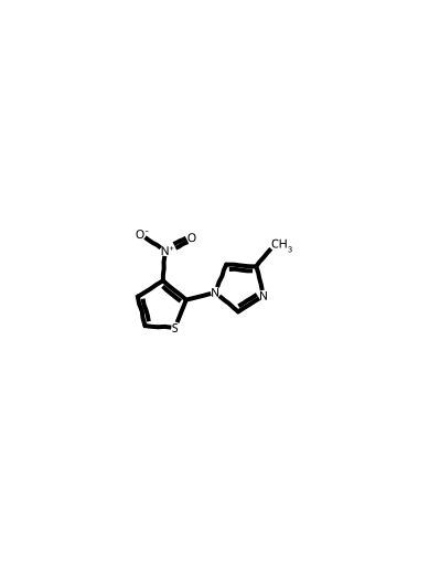 Cc1cn(-c2sccc2[N+](=O)[O-])cn1